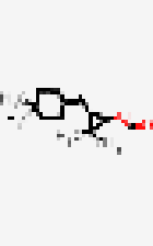 CC1(C)CCC(=CC2C(OC=O)C2(C)C)CC1